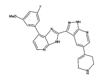 COc1cc(F)cc(-c2ccnc3[nH]c(-c4n[nH]c5ncc(C6=CCNCC6)cc45)nc23)c1